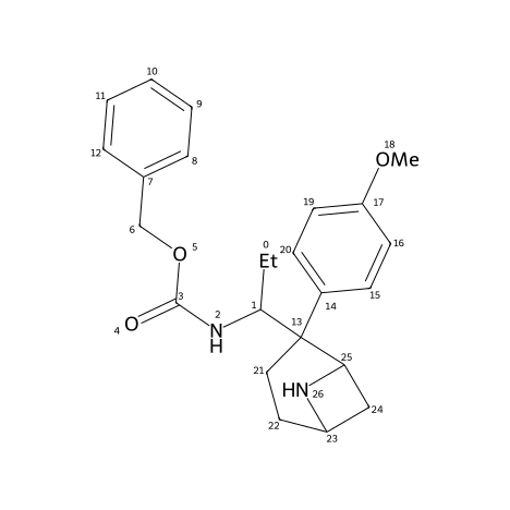 CCC(NC(=O)OCc1ccccc1)C1(c2ccc(OC)cc2)CCC2CC1N2